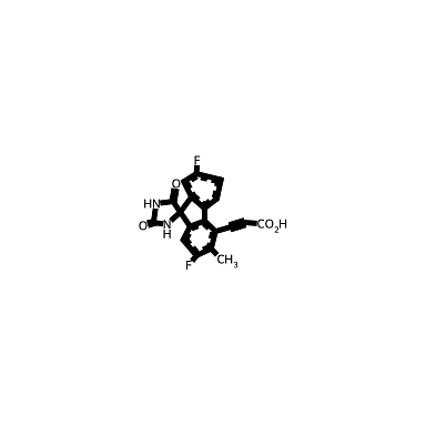 Cc1c(F)cc2c(c1C#CC(=O)O)-c1ccc(F)cc1C21NC(=O)NC1=O